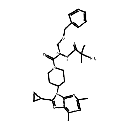 Cc1cc(C)c2nc(C3CC3)n(C3CCN(C(=O)[C@@H](COCc4ccccc4)NC(=O)C(C)(C)N)CC3)c2n1